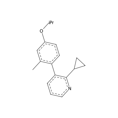 Cc1cc(OC(C)C)ccc1-c1cccnc1C1CC1